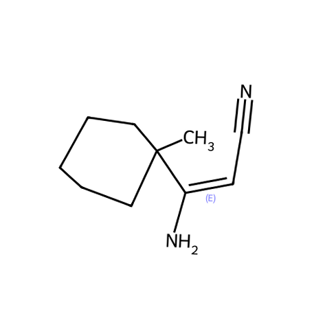 CC1(/C(N)=C\C#N)CCCCC1